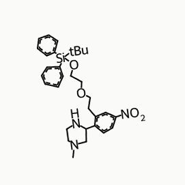 CN1CCNC(c2ccc([N+](=O)[O-])cc2CCOCCO[Si](c2ccccc2)(c2ccccc2)C(C)(C)C)C1